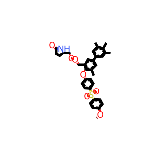 COc1ccc(S(=O)(=O)c2ccc(Oc3c(C)cc(-c4cc(C)c(C)c(C)c4)cc3COOCC3CCC(=O)N3)cc2)cc1